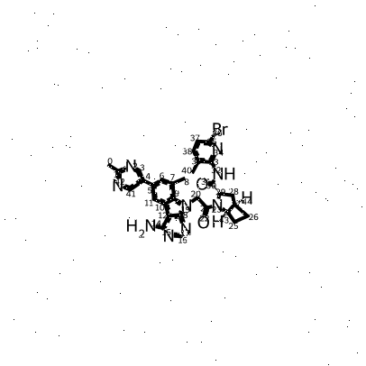 Cc1ncc(-c2cc(C)c3c(c2)c2c(N)ncnc2n3CC(=O)N2[C@@H]3CC[C@@H]3C[C@H]2C(=O)Nc2nc(Br)ccc2C)cn1